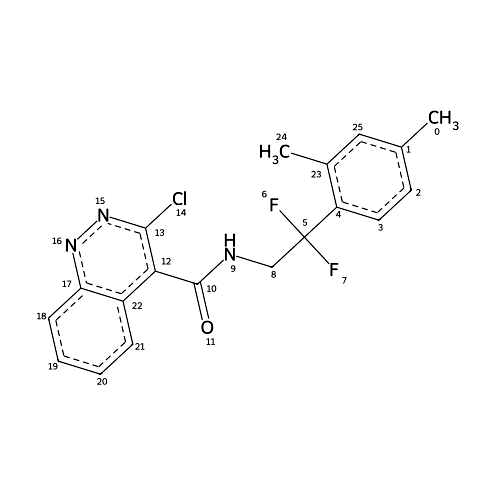 Cc1ccc(C(F)(F)CNC(=O)c2c(Cl)nnc3ccccc23)c(C)c1